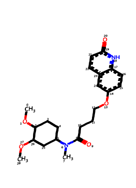 COC1CCC(N(C)C(=O)CCCOc2ccc3[nH]c(=O)ccc3c2)CC1OC